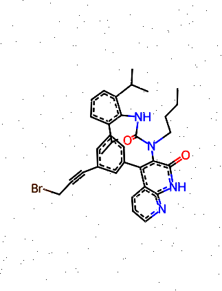 CCCCN(C(=O)Nc1c(C(C)C)cccc1C(C)C)c1c(-c2cccc(C#CCBr)c2)c2cccnc2[nH]c1=O